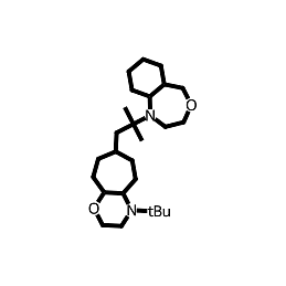 CC(C)(C)N1CCOC2CCC(CC(C)(C)N3CCOCC4CCCCC43)CCC21